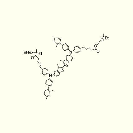 CCCCCCC(C)(CC)C(=O)CCCCc1ccc(N(c2ccc(-c3ccc(C)cc3C)cc2)c2ccc3sc(-c4sc5ccc(N(c6ccc(CCCCC(=O)OCCOC(C)(C)CC)cc6)c6ccc(-c7ccc(C)cc7C)cc6)cc5c4C)c(C)c3c2)cc1